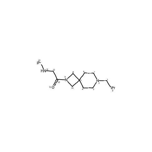 CC(C)CN1CCC2(CC1)CN(C(=O)CNC(C)C)C2